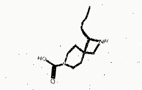 CCCC1NCC12CCN(C(=O)O)CC2